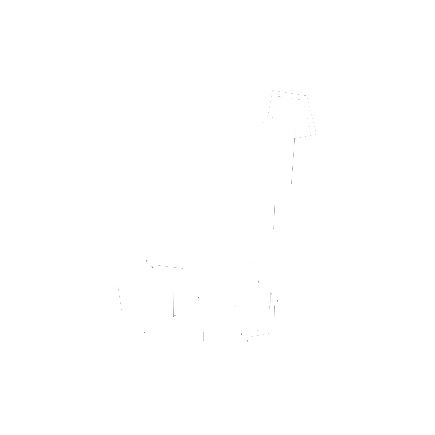 c1csc(CCCSc2nsnc2[C@H]2CN3CCC[C@H]2C3)c1